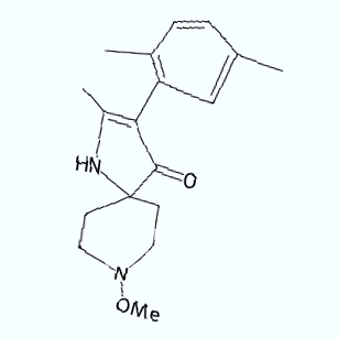 CON1CCC2(CC1)NC(C)=C(c1cc(C)ccc1C)C2=O